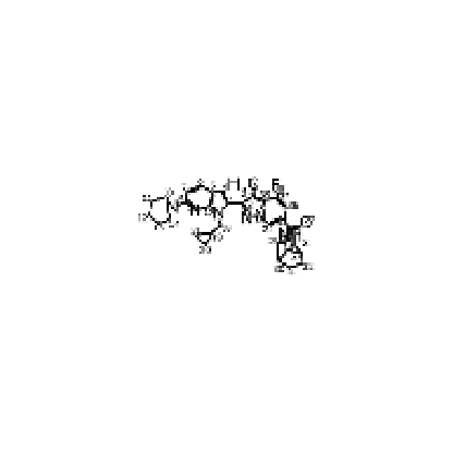 Cc1c(-c2cc3ccc(N4CCCCC4)nc3n2CC2CC2)nn2cc(C(=O)N3CC4CCC3C4N)cc(F)c12